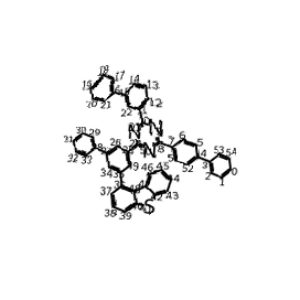 c1ccc(-c2ccc(-c3nc(-c4cccc(-c5ccccc5)c4)nc(-c4cc(-c5ccccc5)cc(-c5cccc6sc7ccccc7c56)c4)n3)cc2)cc1